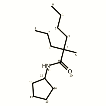 CCCCC(C)(CCC)C(=O)NC1CCCC1